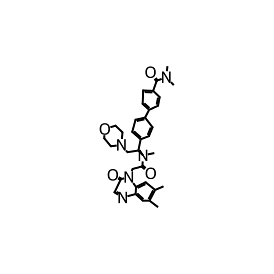 Cc1cc2ncc(=O)n(CC(=O)N(C)C(CN3CCOCC3)c3ccc(-c4ccc(C(=O)N(C)C)cc4)cc3)c2cc1C